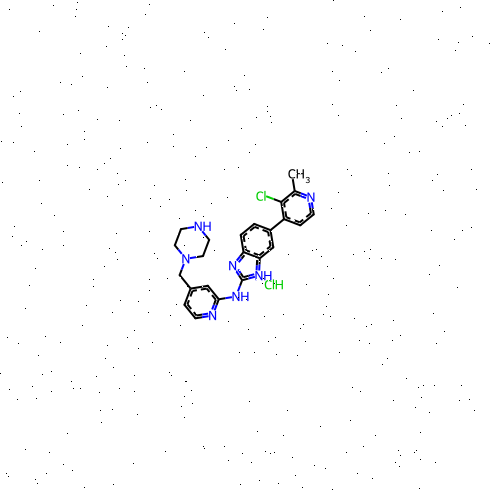 Cc1nccc(-c2ccc3nc(Nc4cc(CN5CCNCC5)ccn4)[nH]c3c2)c1Cl.Cl